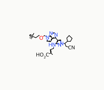 C/C(=C\CNc1nn(C(CC#N)C2CCCC2)cc1-c1ncnc2c1ccn2COCC[Si](C)(C)C)C(=O)O